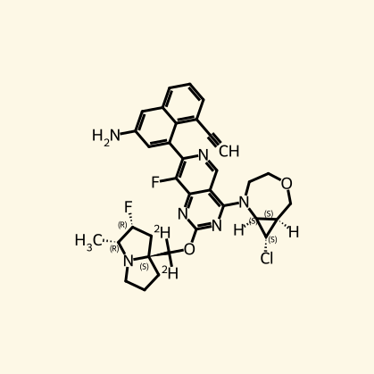 [2H]C([2H])(Oc1nc(N2CCOC[C@H]3[C@H](Cl)[C@H]32)c2cnc(-c3cc(N)cc4cccc(C#C)c34)c(F)c2n1)[C@@]12CCCN1[C@H](C)[C@H](F)C2